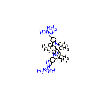 CC(=CC1=[N+](C)c2ccc(CNC(=N)N)cc2C1(C)C)C=C1N(C)c2ccc(CNC(=N)N)cc2C1(C)C